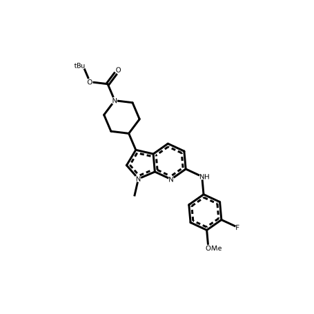 COc1ccc(Nc2ccc3c(C4CCN(C(=O)OC(C)(C)C)CC4)cn(C)c3n2)cc1F